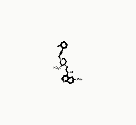 COc1ccc2nccc([C@@H](O)CC[C@@H]3CCN(CC#Cc4ccccc4C)C[C@@H]3C(=O)O)c2c1